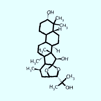 C[C@@H]1CC2O[C@]3(O[C@@H]2C(C)(C)O)C1[C@@]1(C)CCC2C4CC[C@H](O)C(C)(C)[C@@H]4CC[C@H]2[C@]1(C)[C@H]3O